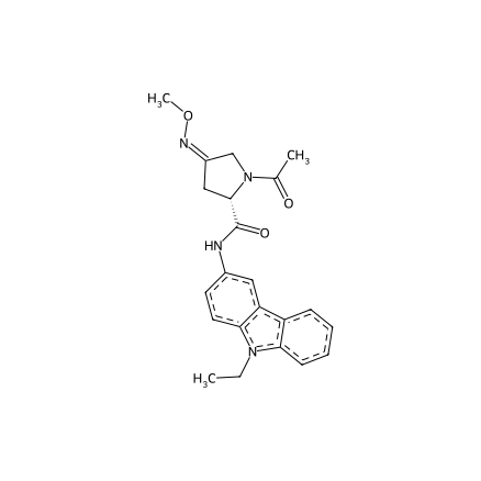 CCn1c2ccccc2c2cc(NC(=O)[C@@H]3CC(=NOC)CN3C(C)=O)ccc21